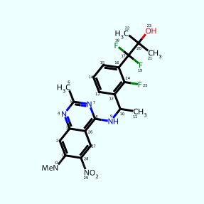 CNc1cc2nc(C)nc(NC(C)c3cccc(C(F)(F)C(C)(C)O)c3F)c2cc1[N+](=O)[O-]